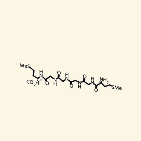 CSCC[C@H](NC(=O)CNC(=O)CNC(=O)CNC(=O)CNC(=O)[C@@H](N)CCSC)C(=O)O